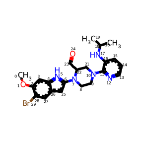 COc1cc2[nH]c(N3CCN(c4ncccc4NC(C)C)CC3C=O)cc2cc1Br